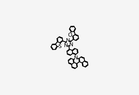 c1ccc2c3c(ccc2c1)N(c1cccc2c(-c4nc(-c5cccc6c5oc5ccccc56)nc(-c5cccc6c5sc5ccccc56)n4)cccc12)c1cccc2cccc-3c12